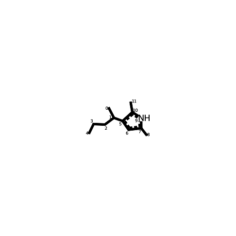 [CH2]C(CCC)c1cc(C)[nH]c1C